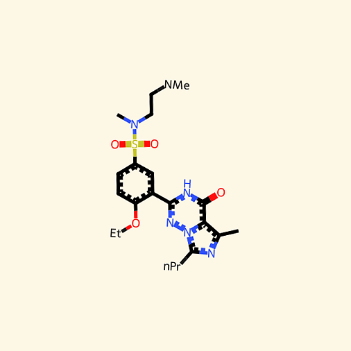 CCCc1nc(C)c2c(=O)[nH]c(-c3cc(S(=O)(=O)N(C)CCNC)ccc3OCC)nn12